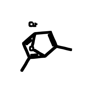 Cc1cc2cc(C)c1o2.[Cu]